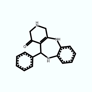 O=C1CNCC2=C1C(c1ccccc1)Nc1ccccc1N2